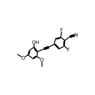 COc1cc(O)c(C#Cc2cc(F)c(C#N)c(F)c2)c(OC)c1